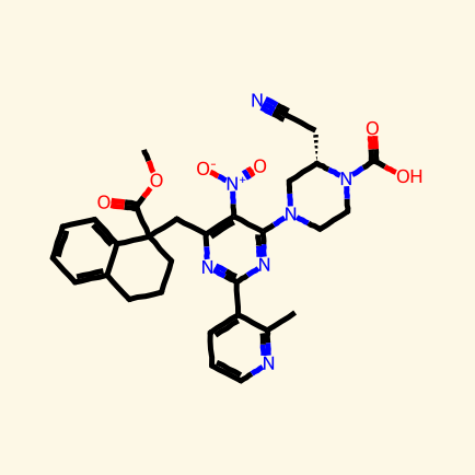 COC(=O)C1(Cc2nc(-c3cccnc3C)nc(N3CCN(C(=O)O)[C@@H](CC#N)C3)c2[N+](=O)[O-])CCCc2ccccc21